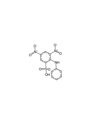 O=[N+]([O-])c1cc([N+](=O)[O-])c(Nc2ccccc2)c(S(=O)(=O)O)c1